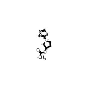 CC(=O)OC1CCN(c2nncs2)C1